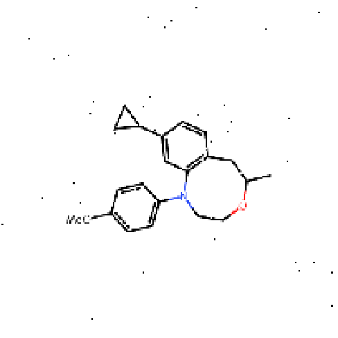 COc1ccc(N2CCOC(C)Cc3ccc(C4CC4)cc32)cc1